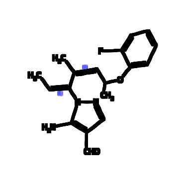 C/C=C(\C(C)=C/C(C)Oc1ccccc1F)n1ncc(C=O)c1N